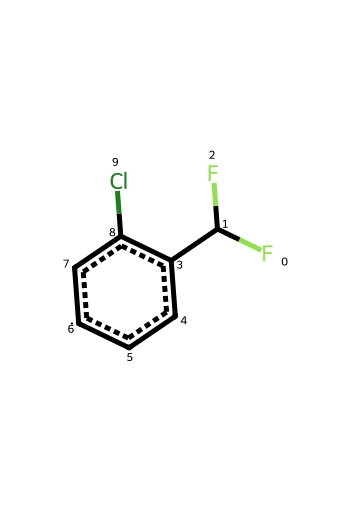 FC(F)c1cc[c]cc1Cl